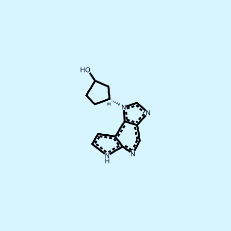 OC1CC[C@@H](n2cnc3cnc4[nH]ccc4c32)C1